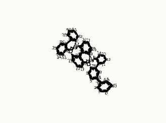 c1ccc(-c2ccc3c(c2)-c2ccccc2N2B3c3cccc4c3-c3c(cccc32)N2B4c3ccccc3-c3ccccc32)cc1